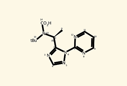 C[C@@H](c1ncnn1-c1ncccn1)N(C(=O)O)C(C)(C)C